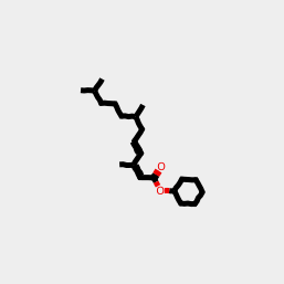 CC(C=CCC(C)CCCC(C)C)=CC(=O)OC1CCCCC1